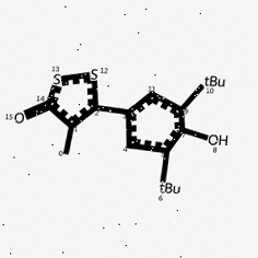 Cc1c(-c2cc(C(C)(C)C)c(O)c(C(C)(C)C)c2)ssc1=O